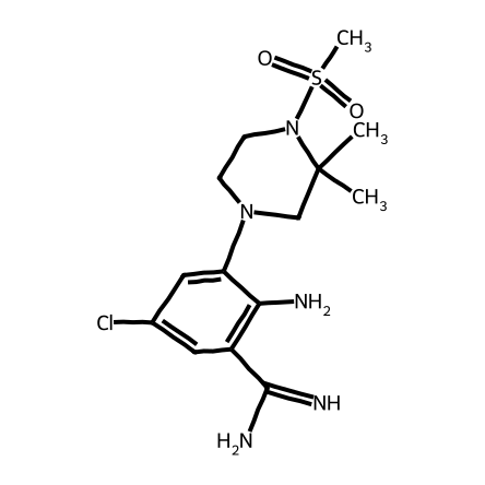 CC1(C)CN(c2cc(Cl)cc(C(=N)N)c2N)CCN1S(C)(=O)=O